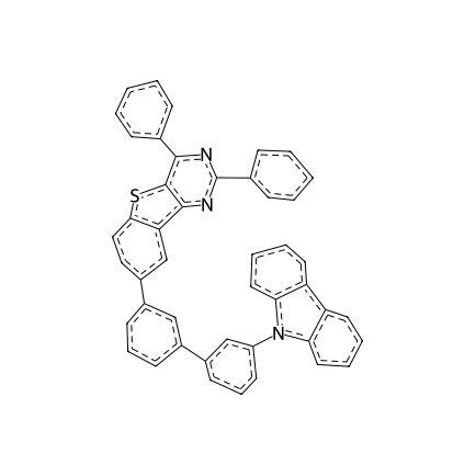 c1ccc(-c2nc(-c3ccccc3)c3sc4ccc(-c5cccc(-c6cccc(-n7c8ccccc8c8ccccc87)c6)c5)cc4c3n2)cc1